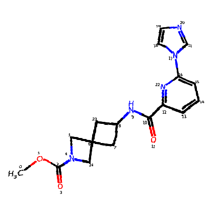 COC(=O)N1CC2(CC(NC(=O)c3cccc(-n4ccnc4)n3)C2)C1